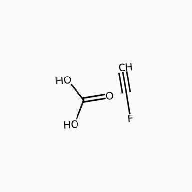 C#CF.O=C(O)O